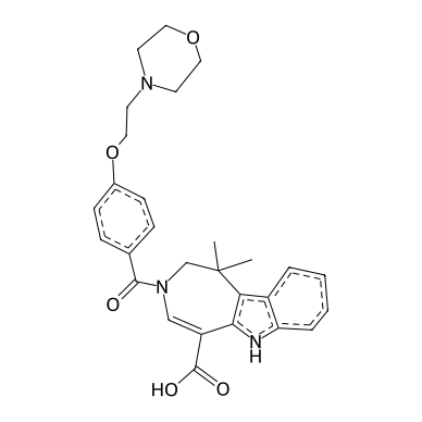 CC1(C)CN(C(=O)c2ccc(OCCN3CCOCC3)cc2)C=C(C(=O)O)c2[nH]c3ccccc3c21